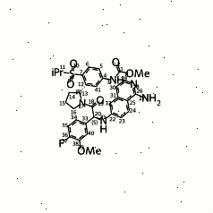 COC(=O)Nc1ccc(S(=O)(=O)C(C)C)c([C@H]2CCCN2C(=O)[C@@H](Nc2ccc3c(N)nccc3c2)c2ccc(F)c(OC)c2)c1